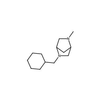 CN1CC2CC1CN2CC1CCCCC1